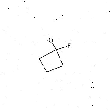 [O]C1(F)CCC1